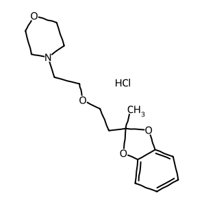 CC1(CCOCCN2CCOCC2)Oc2ccccc2O1.Cl